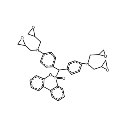 O=P1(C(c2ccc(N(CC3CO3)CC3CO3)cc2)c2ccc(N(CC3CO3)CC3CO3)cc2)Oc2ccccc2-c2ccccc21